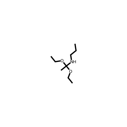 CCCNC(C)(OCC)OCC